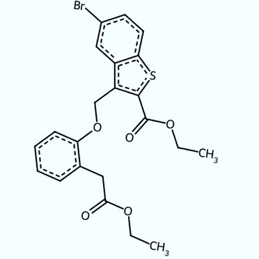 CCOC(=O)Cc1ccccc1OCc1c(C(=O)OCC)sc2ccc(Br)cc12